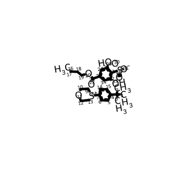 CC(C)(C)c1ccc([S+]2CCOCC2)cc1.CCCCOC(=O)c1cc(O)c(S(=O)(=O)[O-])c(O)c1